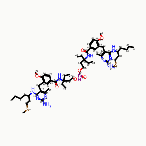 CCCCC(CCSC)Nc1nc(N)nc(C)c1Cc1cc(C(=O)NC(CC)(CC)CCO[PH](=O)OCCC(CC)(CC)NC(=O)c2ccc(OC)c(Cc3c(C)nc(N)nc3NC(CCCC)CCSC)c2)ccc1OC